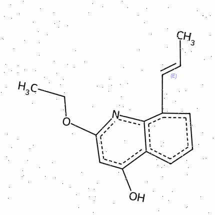 C/C=C/c1cccc2c(O)cc(OCC)nc12